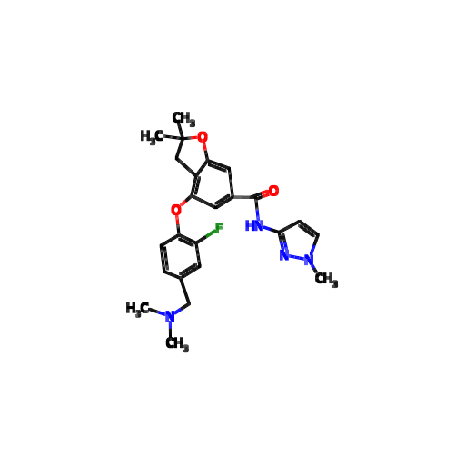 CN(C)Cc1ccc(Oc2cc(C(=O)Nc3ccn(C)n3)cc3c2CC(C)(C)O3)c(F)c1